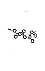 CCCCc1cccc(-n2c3ccccc3c3cc4c(cc32)c2ccccc2n4-c2cccc(-c3nc(-c4ccccc4)nc(-c4cccc5oc6ccccc6c45)n3)c2)c1